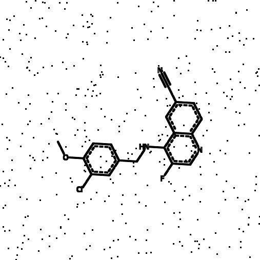 COc1ccc(CNc2c(F)cnc3ccc(C#N)cc23)cc1Cl